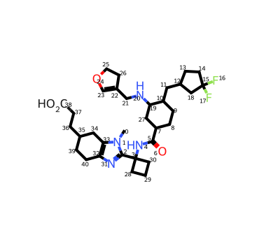 Cn1c(C2(NC(=O)C3CCC(CC4CCC(F)(F)C4)C(NCC4=COCC4)C3)CCC2)nc2c1CC(CCC(=O)O)CC2